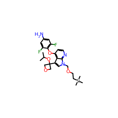 CC(C)OC1(c2cn(COCC[Si](C)(C)C)c3nccc(Oc4c(F)cc(N)cc4F)c23)COC1